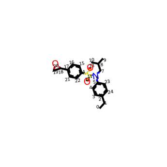 CCc1ccc(N(CC(C)C)S(=O)(=O)c2ccc(C3CO3)cc2)cc1